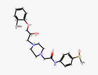 CCC[S+]([O-])c1ccc(NC(=O)CN2CCN(CC(O)COc3ccccc3OC)CC2)cc1